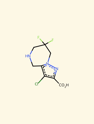 O=C(O)c1nn2c(c1Cl)CNCC(F)(F)C2